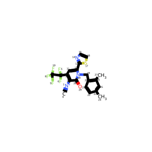 [C-]#[N+]c1c(C(F)(F)C(F)(F)F)cc(-c2nccs2)n(Cc2ccc(C)cc2C)c1=O